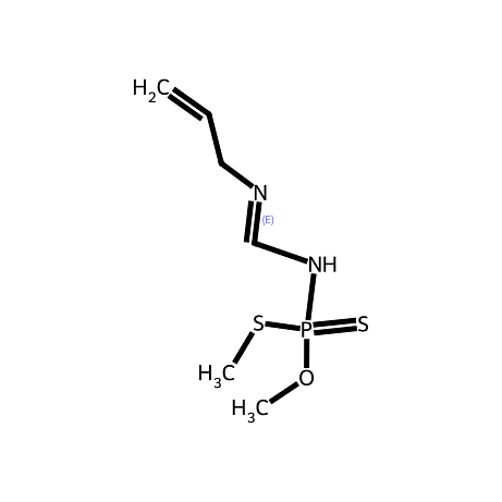 C=CC/N=C/NP(=S)(OC)SC